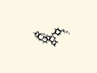 COc1ccc(CN2Cn3ncnc3-c3c2sc2c3CCN(Cc3scnc3C)C2)cc1